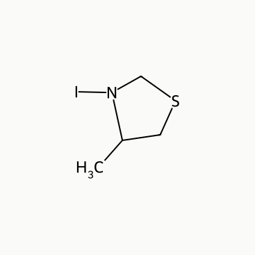 CC1CSCN1I